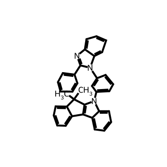 CC1(C)c2ccccc2-c2c1n(-c1cccc(-n3c(-c4ccccc4)nc4ccccc43)c1)c1ccccc21